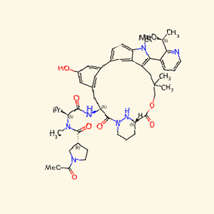 CCn1c(-c2cccnc2[C@H](C)OC)c2c3cc(ccc31)-c1cc(O)cc(c1)C[C@H](NC(=O)[C@H](C(C)C)N(C)C(=O)[C@@H]1CCN(C(=O)OC)C1)C(=O)N1CCC[C@H](N1)C(=O)OCC(C)(C)C2